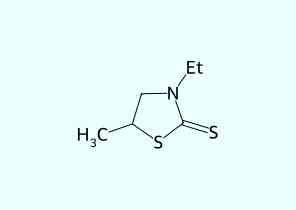 CCN1CC(C)SC1=S